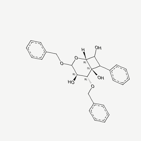 OC1C(c2ccccc2)[C@@]2(O)[C@@H]1OC(OCc1ccccc1)[C@H](O)[C@H]2OCc1ccccc1